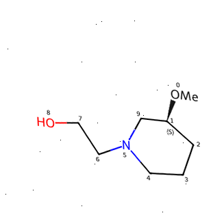 CO[C@H]1CCCN(CCO)C1